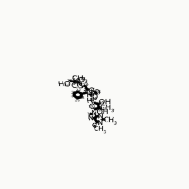 COc1nc(C)nc2c1ncn2[C@@H]1O[C@H](COP(=O)(NCc2ccccc2)OCCSC(=O)C(C)(C)CO)[C@H](O)C1(C)O